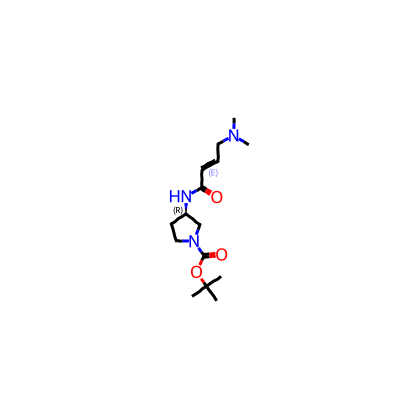 CN(C)C/C=C/C(=O)N[C@@H]1CCN(C(=O)OC(C)(C)C)C1